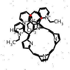 CC[n+]1ccccc1-c1c(-c2cccc[n+]2CC)c2c(-c3cccc[n+]3CC)c3nc(cc4ccc(cc5nc(cc1n2-c1cccc[n+]1CC)C=C5)[nH]4)C=C3